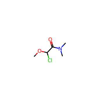 COC(Cl)C(=O)N(C)C